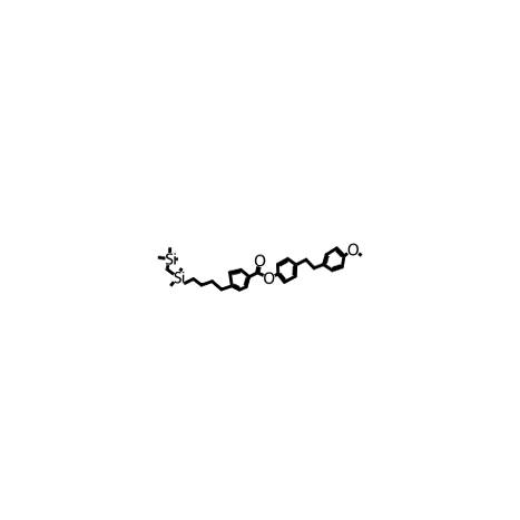 COc1ccc(CCc2ccc(OC(=O)c3ccc(CCCCC[Si](C)(C)C[Si](C)(C)C)cc3)cc2)cc1